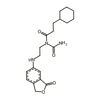 NC(=O)N(CCNc1ccc2c(c1)C(=O)OC2)C(=O)[CH]CC1CCCCC1